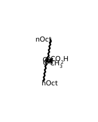 CCCCCCCCC=CCCCCCCCCOP(=O)(CN(C)CC(=O)O)OCCCCCCCCC=CCCCCCCCC